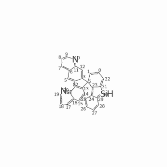 C1=CC(c2ccc3cccnc3c2)(c2ccc3cccnc3c2)C2=c3ccccc3=[SiH]C2=C1